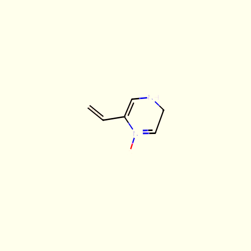 C=CC1=CNCC=[N+]1[O-]